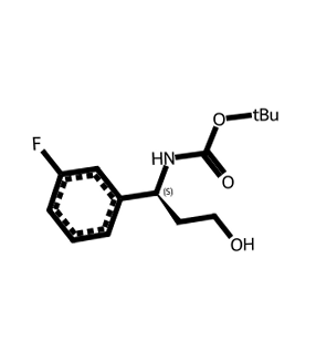 CC(C)(C)OC(=O)N[C@@H](CCO)c1cccc(F)c1